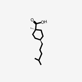 CC(C)CCC[C@H]1CC[C@@](C)(C(=O)O)CC1